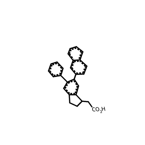 O=C(O)CC1CCc2cc(-c3ccccc3)c(-c3ccc4ccccc4c3)cc21